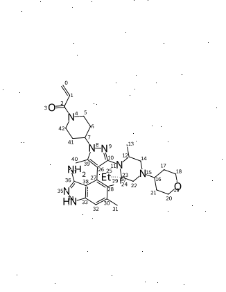 C=CC(=O)N1CCC(n2nc(N3C(C)CN(C4CCOCC4)C[C@]3(C)CC)c(-c3c(C)c(C)cc4[nH]nc(N)c34)c2C)CC1